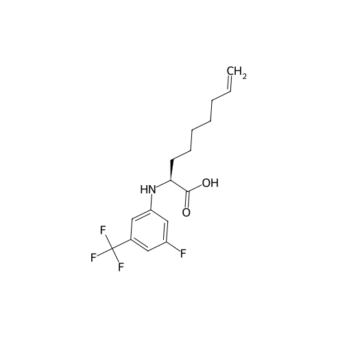 C=CCCCCC[C@H](Nc1cc(F)cc(C(F)(F)F)c1)C(=O)O